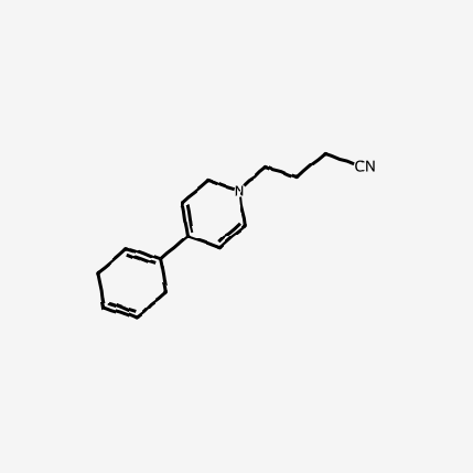 N#CCCCN1C=CC(C2=CCC=CC2)=CC1